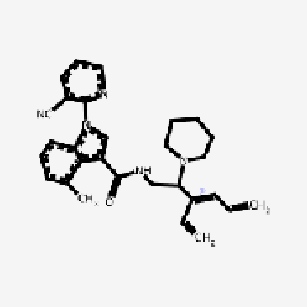 C=C/C=C(\C=C)C(CNC(=O)c1cn(-c2ncccc2C#N)c2cccc(C)c12)N1CCCCC1